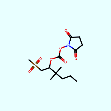 CCCC(C)(C)C(CS(C)(=O)=O)OC(=O)ON1C(=O)CCC1=O